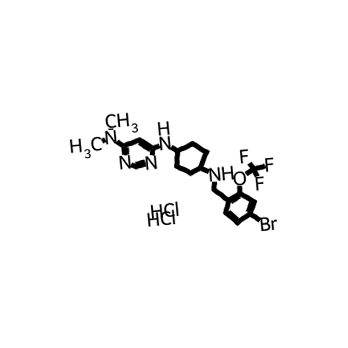 CN(C)c1cc(NC2CCC(NCc3ccc(Br)cc3OC(F)(F)F)CC2)ncn1.Cl.Cl